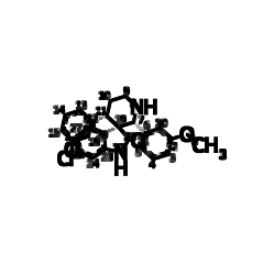 COc1cccc([C@H]2NCC[C@@H](c3cccc(Cl)c3)[C@]23C(=O)Nc2cc(Cl)ccc23)c1